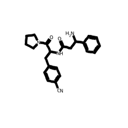 N#Cc1ccc(CC(NC(=O)CC(N)c2ccccc2)C(=O)N2CCCC2)cc1